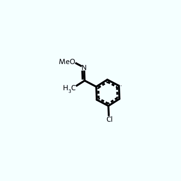 CO/N=C(\C)c1c[c]cc(Cl)c1